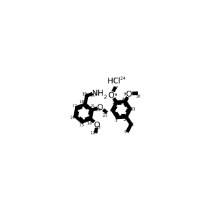 CCc1ccc(OC)c(OC)c1.COc1cccc(CN)c1OC.Cl